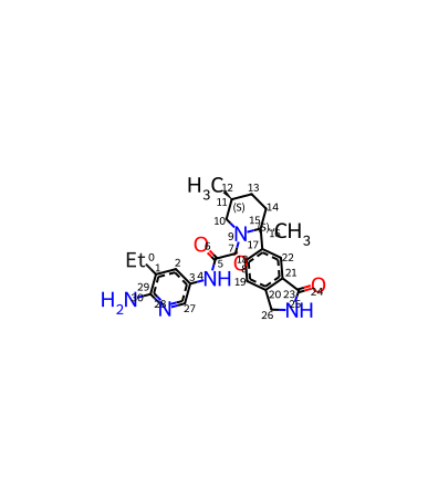 CCc1cc(NC(=O)C(=O)N2C[C@@H](C)CC[C@@]2(C)c2ccc3c(c2)C(=O)NC3)cnc1N